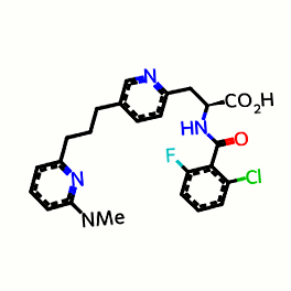 CNc1cccc(CCCc2ccc(C[C@H](NC(=O)c3c(F)cccc3Cl)C(=O)O)nc2)n1